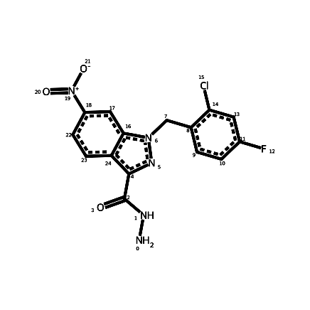 NNC(=O)c1nn(Cc2ccc(F)cc2Cl)c2cc([N+](=O)[O-])ccc12